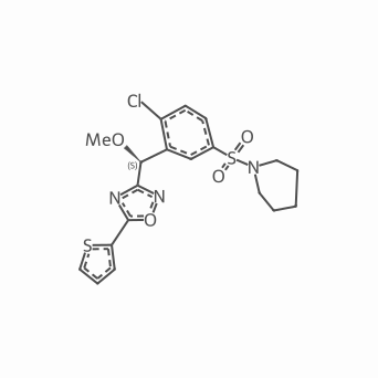 CO[C@H](c1noc(-c2cccs2)n1)c1cc(S(=O)(=O)N2CCCCC2)ccc1Cl